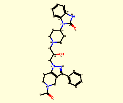 CC(=O)N1CCc2c(c(-c3ccccc3)nn2CC(O)CN2CCC(n3c(=O)[nH]c4ccccc43)CC2)C1